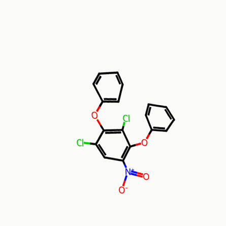 O=[N+]([O-])c1cc(Cl)c(Oc2ccccc2)c(Cl)c1Oc1ccccc1